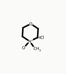 C[N+]1([O-])CCOCC1.Cl